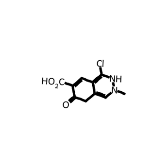 CN1C=C2CC(=O)C(C(=O)O)=CC2=C(Cl)N1